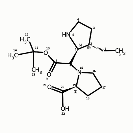 CC[C@H]1CCN[C@@H]1C(C(=O)OC(C)(C)C)N1CCC[C@H]1C(=O)O